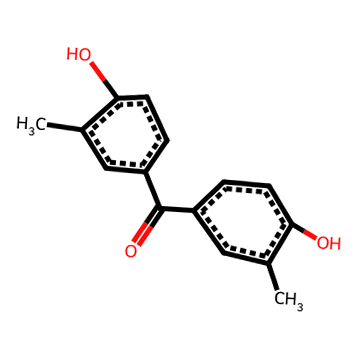 Cc1cc(C(=O)c2ccc(O)c(C)c2)ccc1O